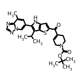 Cc1cc(-c2[nH]c3cc(C(=O)C4=CCN(C(=O)OC(C)(C)C)CC4)sc3c2C(C)C)cn2ncnc12